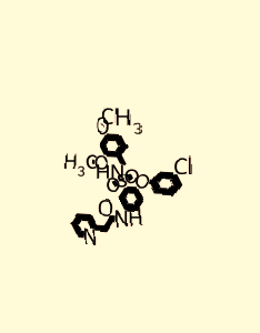 COc1ccc(CNS(=O)(=O)c2cc(NC(=O)Cc3ccccn3)ccc2Oc2cccc(Cl)c2)c(OC)c1